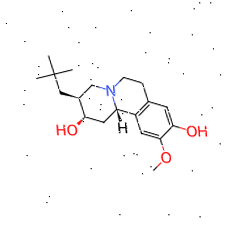 COc1cc2c(cc1O)CCN1C[C@H](CC(C)(C)C)[C@H](O)C[C@@H]21